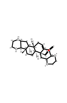 C=C=C[C@]12CC3OCCOC3CC1=CC[C@@H]1[C@@H]2CC[C@]2(C)C3OCCOC3C[C@@H]12